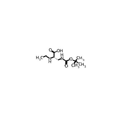 CCN[C@@H](CNC(=O)OC(C)(C)C)C(=O)O